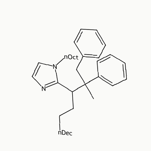 CCCCCCCCCCCCC(c1nccn1CCCCCCCC)C(C)(Cc1ccccc1)c1ccccc1